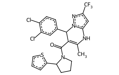 CC1=C(C(=O)N2CCCC2c2cccs2)C(c2ccc(Cl)c(Cl)c2)n2nc(C(F)(F)F)cc2N1